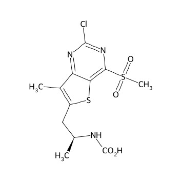 Cc1c(C[C@H](C)NC(=O)O)sc2c(S(C)(=O)=O)nc(Cl)nc12